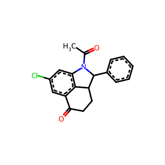 CC(=O)N1c2cc(Cl)cc3c2C(CCC3=O)C1c1ccccc1